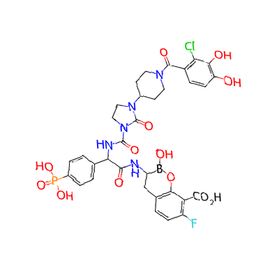 O=C(O)c1c(F)ccc2c1OB(O)C(NC(=O)C(NC(=O)N1CCN(C3CCN(C(=O)c4ccc(O)c(O)c4Cl)CC3)C1=O)c1ccc(P(=O)(O)O)cc1)C2